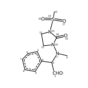 CN(C([C]=O)c1ccccc1)N1CCN(S(C)(=O)=O)C1=O